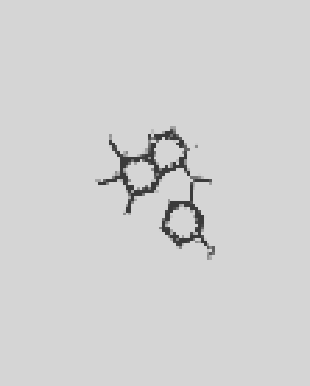 Cc1cc2c(N(C)c3cccc(Cl)c3)ncnc2c(I)c1C